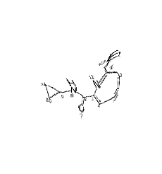 CCc1cccc(C(=O)NC2CC2)n1